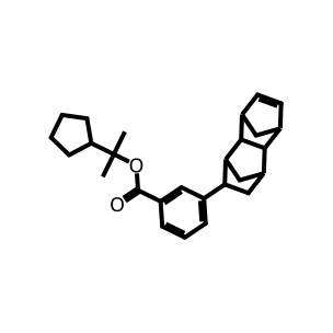 CC(C)(OC(=O)c1cccc(C2CC3CC2C2C4C=CC(C4)C32)c1)C1CCCC1